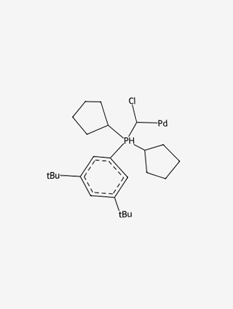 CC(C)(C)c1cc(C(C)(C)C)cc([PH]([CH](Cl)[Pd])(C2CCCC2)C2CCCC2)c1